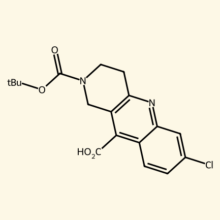 CC(C)(C)OC(=O)N1CCc2nc3cc(Cl)ccc3c(C(=O)O)c2C1